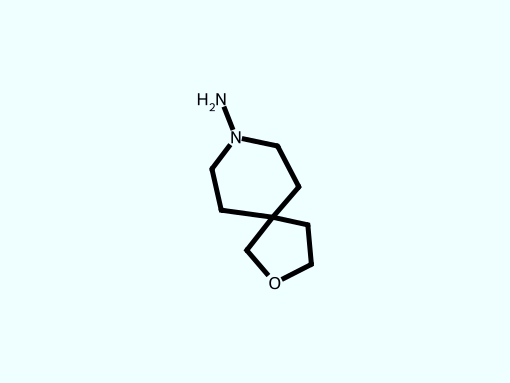 NN1CCC2(CCOC2)CC1